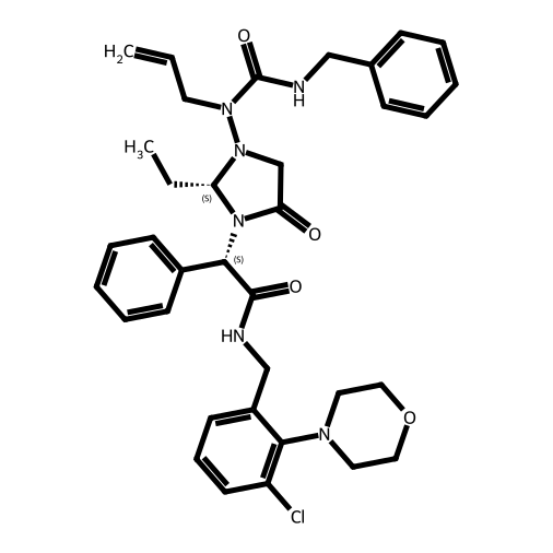 C=CCN(C(=O)NCc1ccccc1)N1CC(=O)N([C@H](C(=O)NCc2cccc(Cl)c2N2CCOCC2)c2ccccc2)[C@@H]1CC